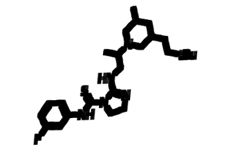 CC1CC(CCC(C)(C)C)CN(C(C)CNC2=NCCN2C(=S)Nc2cccc(F)c2)C1